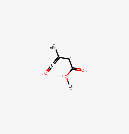 CCCC(=C=O)CC(=O)OCC